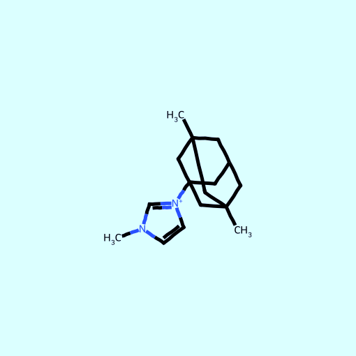 Cn1cc[n+](C23CC4CC(C)(CC(C)(C4)C2)C3)c1